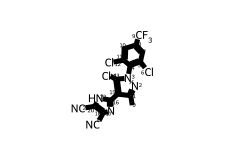 Cc1nn(-c2c(Cl)cc(C(F)(F)F)cc2Cl)c(Cl)c1-c1nc(C#N)c(C#N)[nH]1